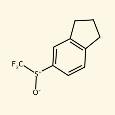 [O-][S+](c1ccc2c(c1)CC[CH]2)C(F)(F)F